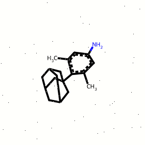 Cc1cc(N)cc(C)c1C12CC3CC(CC(C3)C1)C2